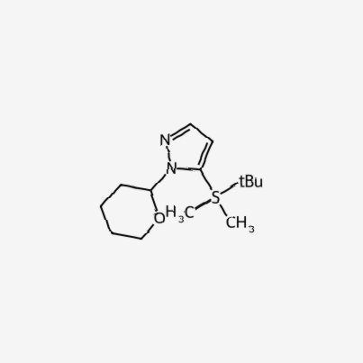 CC(C)(C)S(C)(C)c1ccnn1C1CCCCO1